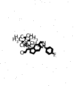 CC(C)[Si](OC[C@@]1(CC=O)CCC2=Cc3c(cnn3-c3ccc(F)cc3)C[C@]21C)(C(C)C)C(C)C